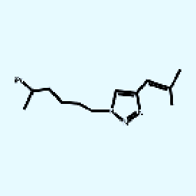 CC(C)=Cc1cn(CCCCC(C)C(C)C)nn1